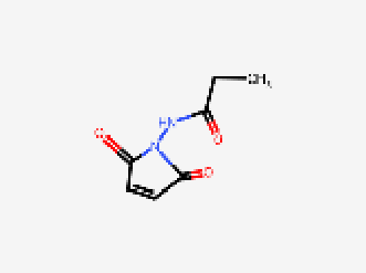 CCC(=O)NN1C(=O)C=CC1=O